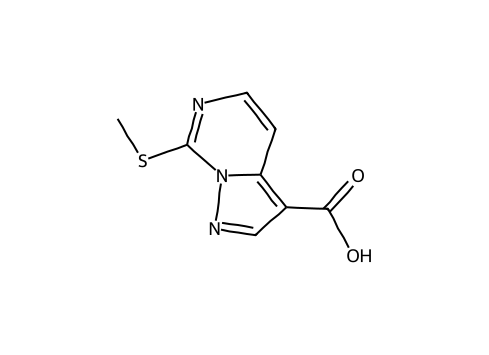 CSc1nccc2c(C(=O)O)cnn12